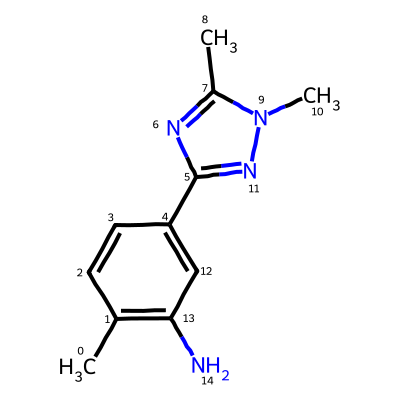 Cc1ccc(-c2nc(C)n(C)n2)cc1N